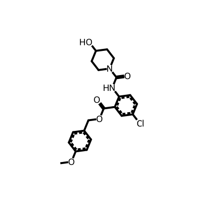 COc1ccc(COC(=O)c2cc(Cl)ccc2NC(=O)N2CCC(O)CC2)cc1